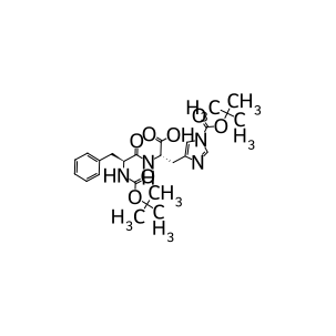 CC(C)(C)OC(=O)N[C@@H](Cc1ccccc1)C(=O)N[C@@H](Cc1cn(C(=O)OC(C)(C)C)cn1)C(=O)O